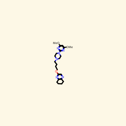 COc1cc(OC)nc(N2CCN(CCCCOc3cnc4c(n3)CCCC4)CC2)n1